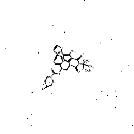 Cc1c(-c2ncco2)sc2c1c(=O)n(C(C)(C)C(=O)O)c(=O)n2C[C@@H](OC(=O)N1CCC(O)CC1)c1ccccc1